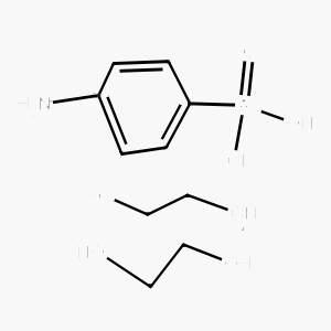 Nc1ccc([As](=O)(O)O)cc1.OCCO.OCCO